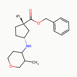 CC1COCCC1N[C@@H]1CC[C@@](C(=O)OCc2ccccc2)(C(C)C)C1